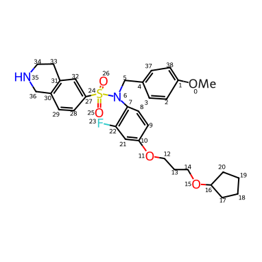 COc1ccc(CN(c2ccc(OCCCOC3CCCC3)cc2F)S(=O)(=O)c2ccc3c(c2)CCNC3)cc1